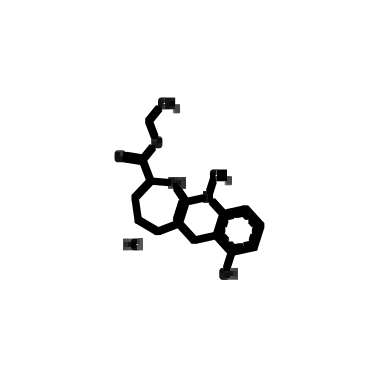 CCOC(=O)C1CCCC2=C(N1)N(C)c1cccc(O)c1C2.Cl